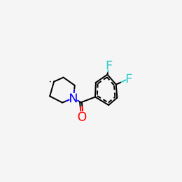 O=C(c1ccc(F)c(F)c1)N1CC[CH]CC1